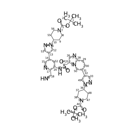 CC(C)(C)OC(=O)N1CCC(n2cc(-c3cnc(C=N)c(NS(=O)(=O)c4cnc5ccc(-c6cnn(C7CCN(C(=O)OC(C)(C)C)CC7)c6)cn45)c3)cn2)CC1